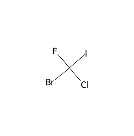 FC(Cl)(Br)I